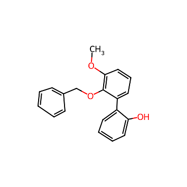 COc1cccc(-c2ccccc2O)c1OCc1ccccc1